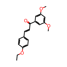 CCOc1ccc(C=CC(=O)c2cc(OC)cc(OC)c2)cc1